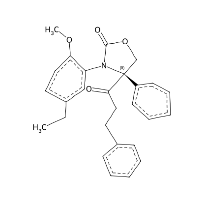 CCc1ccc(OC)c(N2C(=O)OC[C@@]2(C(=O)CCc2ccccc2)c2ccccc2)c1